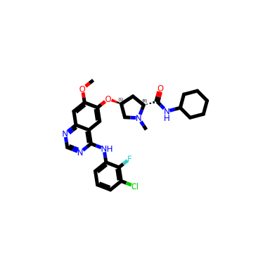 COc1cc2ncnc(Nc3cccc(Cl)c3F)c2cc1O[C@H]1C[C@H](C(=O)NC2CCCCC2)N(C)C1